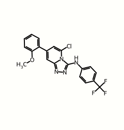 COc1ccccc1-c1cc(Cl)n2c(Nc3ccc(C(F)(F)F)cc3)nnc2c1